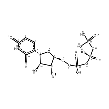 O=c1ccn([C@@H]2O[C@@H](CO[P@@](=O)(O)O[P@](=O)(O)OP(=O)(O)O)[C@H](O)[C@H]2O)c(=O)[nH]1